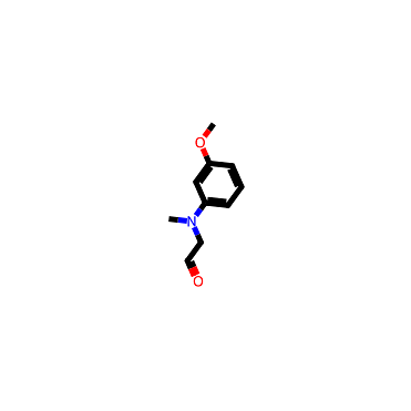 COc1cccc(N(C)CC=O)c1